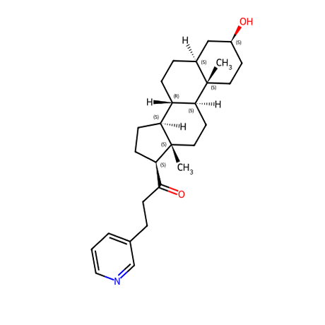 C[C@]12CC[C@H](O)C[C@@H]1CC[C@@H]1[C@@H]2CC[C@]2(C)[C@@H](C(=O)CCc3cccnc3)CC[C@@H]12